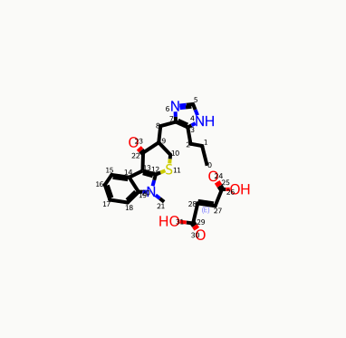 CCCc1[nH]cnc1CC1CSc2c(c3ccccc3n2C)C1=O.O=C(O)/C=C/C(=O)O